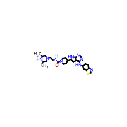 CC1CN(CCNC(=O)N2CC=C(c3cc4c(Nc5ccc6ncsc6c5)ncnc4[nH]3)CC2)CC(C)N1